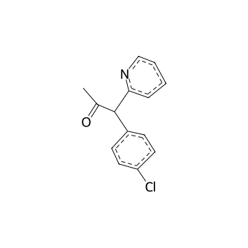 CC(=O)C(c1ccc(Cl)cc1)c1ccccn1